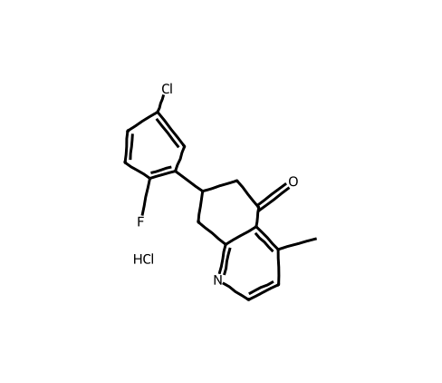 Cc1ccnc2c1C(=O)CC(c1cc(Cl)ccc1F)C2.Cl